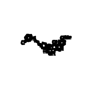 COc1ccc2ncc(Cl)c([C@H](O)CCC3(C(=O)NO)CCN(CCCSc4cccc(Cl)c4)CC3)c2c1